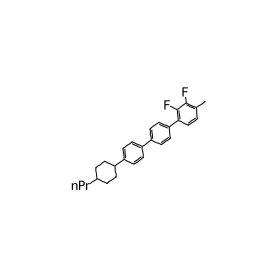 CCCC1CCC(c2ccc(-c3ccc(-c4ccc(C)c(F)c4F)cc3)cc2)CC1